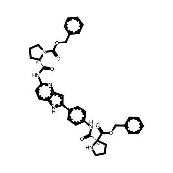 O=C(Nc1ccc2[nH]c(-c3ccc(NC(=O)[C@]4(C(=O)OCc5ccccc5)CCCN4)cc3)cc2n1)[C@@H]1CCCN1C(=O)OCc1ccccc1